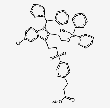 COC(=O)CCc1ccc(S(=O)(=O)CCc2c(CCO[Si](c3ccccc3)(c3ccccc3)C(C)(C)C)n(C(c3ccccc3)c3ccccc3)c3ccc(Cl)cc23)cc1